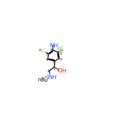 CCCCNC[C@H](O)c1cc(F)c(N)c(F)c1